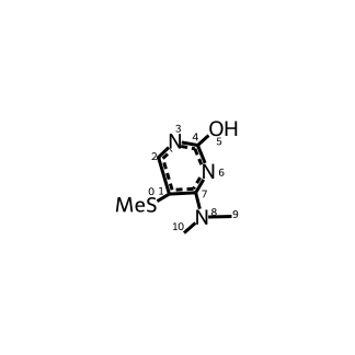 CSc1cnc(O)nc1N(C)C